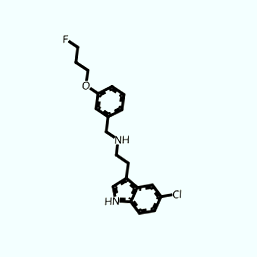 FCCCOc1cccc(CNCCc2c[nH]c3ccc(Cl)cc23)c1